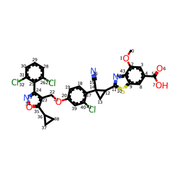 COc1cc(C(=O)O)cc2sc(C3CC3(C#N)c3ccc(OCc4c(-c5c(Cl)cccc5Cl)noc4C4CC4)cc3Cl)nc12